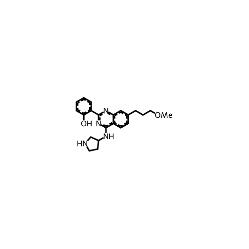 COCCCc1ccc2c(NC3CCNC3)nc(-c3ccccc3O)nc2c1